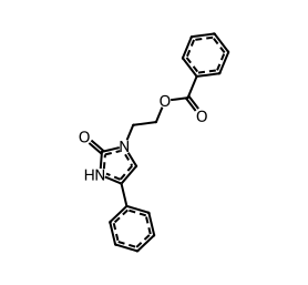 O=C(OCCn1cc(-c2ccccc2)[nH]c1=O)c1ccccc1